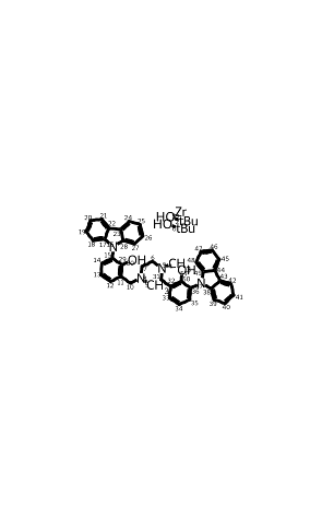 CC(C)(C)O.CC(C)(C)O.CN(CCN(C)Cc1cccc(-n2c3ccccc3c3ccccc32)c1O)Cc1cccc(-n2c3ccccc3c3ccccc32)c1O.[Zr]